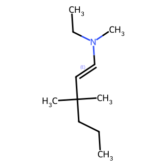 CCCC(C)(C)/C=C/N(C)CC